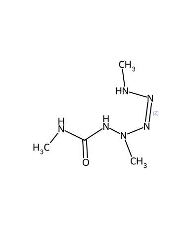 CN/N=N\N(C)NC(=O)NC